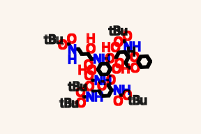 CC(C)(C)OC(=O)NCC[C@H](O)C(=O)NC1[C@H](O[C@H]2OC3COC4(CCCCC4)O[C@H]3[C@H](NC(=O)OC(C)(C)C)C2O)C(O)C(O[C@H]2O[C@H](CNC(=O)OC(C)(C)C)CCC2NC(=O)OC(C)(C)C)[C@@H](NC(=O)OC(C)(C)C)[C@H]1O